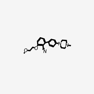 COCCOc1cccc(-c2ccc(N3CCN(C)CC3)cc2)c1C#N